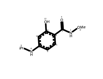 CONC(=O)c1ccc(NC(C)C)cc1O